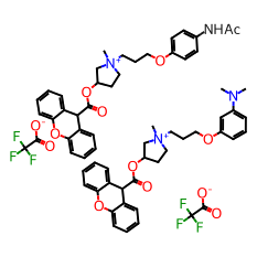 CC(=O)Nc1ccc(OCCC[N+]2(C)CCC(OC(=O)C3c4ccccc4Oc4ccccc43)C2)cc1.CN(C)c1cccc(OCCC[N+]2(C)CCC(OC(=O)C3c4ccccc4Oc4ccccc43)C2)c1.O=C([O-])C(F)(F)F.O=C([O-])C(F)(F)F